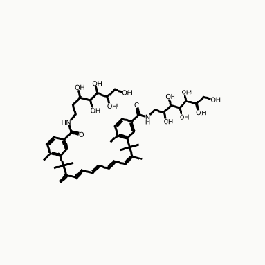 C=C(/C=C/C=C/C=C/C=C(/C)C(C)(C)c1cc(C(=O)NCC(O)C(O)C(O)C(O)C(O)CO)ccc1C)C(C)(C)c1cc(C(=O)NCCC(O)C(O)C(O)C(O)CO)ccc1C